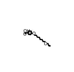 C=CCOCCCCCCCCOc1ccc(C(=O)O)cc1